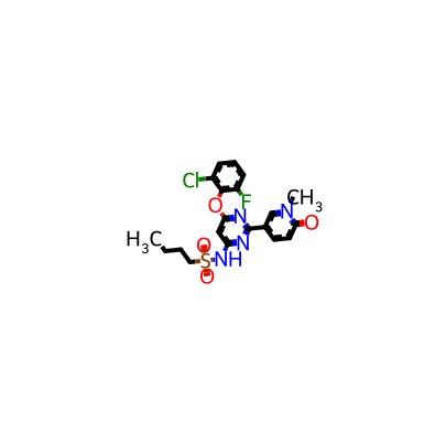 CCCCS(=O)(=O)Nc1cc(Oc2c(F)cccc2Cl)nc(-c2ccc(=O)n(C)c2)n1